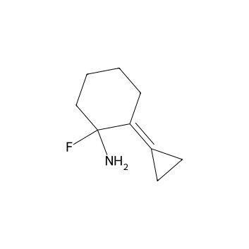 NC1(F)CCCCC1=C1CC1